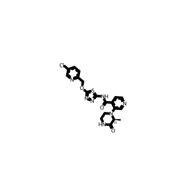 C[C@H]1C(=O)NCCN1c1cnccc1C(=O)Nc1nnc(OCc2ccc(Cl)cn2)s1